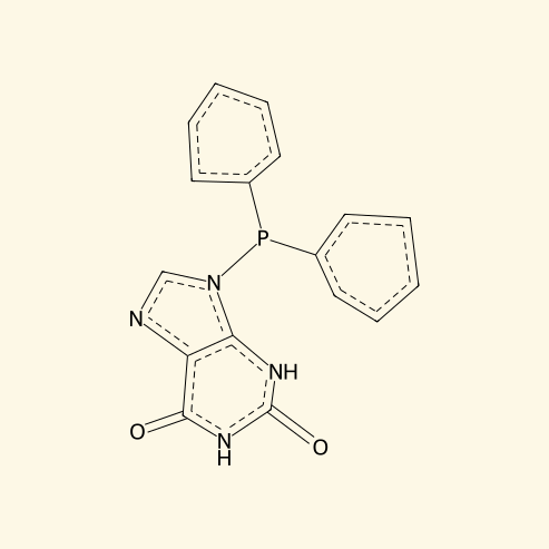 O=c1[nH]c(=O)c2ncn(P(c3ccccc3)c3ccccc3)c2[nH]1